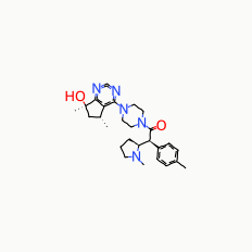 Cc1ccc([C@H](C(=O)N2CCN(c3ncnc4c3[C@H](C)C[C@@]4(C)O)CC2)[C@@H]2CCCN2C)cc1